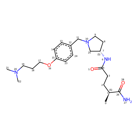 C[C@@H](C[CH]C(=O)N[C@H]1CCN(Cc2ccc(OCCCN(C)C)cc2)C1)C(N)=O